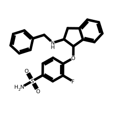 NS(=O)(=O)c1ccc(OC2c3ccccc3CC2NCc2ccccc2)c(F)c1